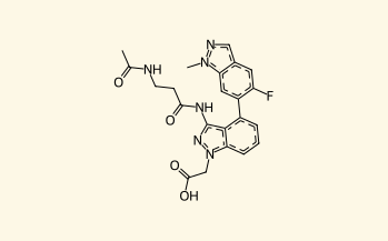 CC(=O)NCCC(=O)Nc1nn(CC(=O)O)c2cccc(-c3cc4c(cnn4C)cc3F)c12